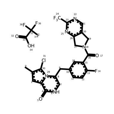 Cc1cc2c(=O)[nH]cc(Cc3ccc(F)c(C(=O)N4Cc5cnc(C(F)(F)F)nc5C4)c3)n2c1Cl.O=C(O)C(F)(F)F